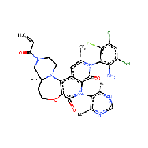 C=CC(=O)N1CCN2c3c(c(=O)n(-c4c(CC)ncnc4CC)c4c(=O)n(-c5c(N)c(Cl)cc(Cl)c5F)c(C(F)(F)F)cc34)OCC[C@H]2C1